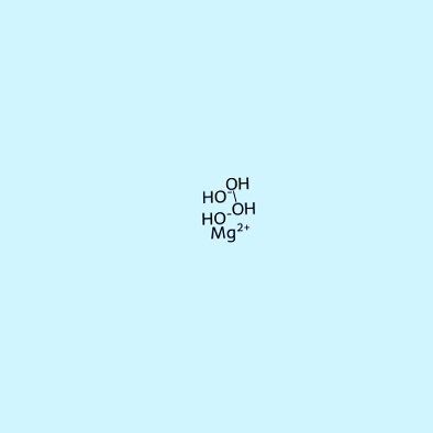 OO.[Mg+2].[OH-].[OH-]